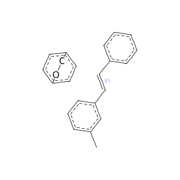 Cc1cccc(/C=C/c2ccccc2)c1.c1cc2ccc1CO2